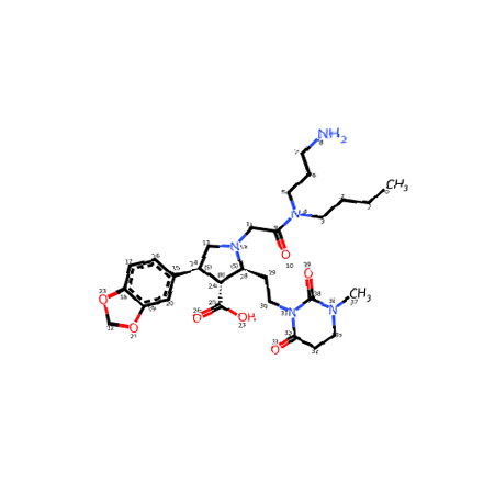 CCCCN(CCCN)C(=O)CN1C[C@H](c2ccc3c(c2)OCO3)[C@@H](C(=O)O)[C@@H]1CCN1C(=O)CCN(C)C1=O